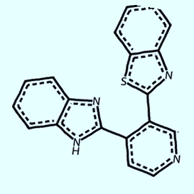 [c]1nccc(-c2nc3ccccc3[nH]2)c1-c1nc2ccccc2s1